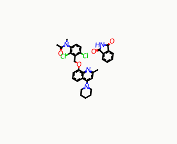 CC(=O)N(C)c1ccc(Cl)c(COc2cccc3c(N4CCCCC4)cc(C)nc23)c1Cl.O=C1NC(=O)c2ccccc21